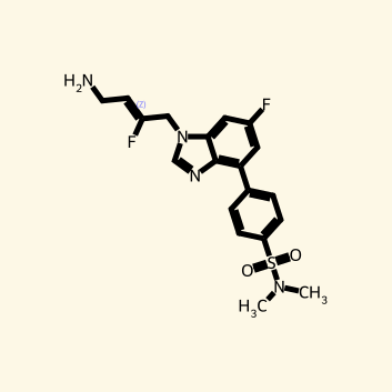 CN(C)S(=O)(=O)c1ccc(-c2cc(F)cc3c2ncn3C/C(F)=C/CN)cc1